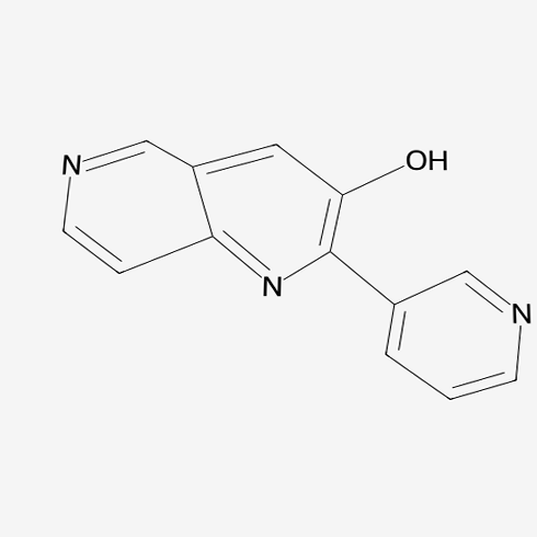 Oc1cc2cnccc2nc1-c1cccnc1